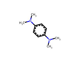 CN(C)c1[c]cc(N(C)C)cc1